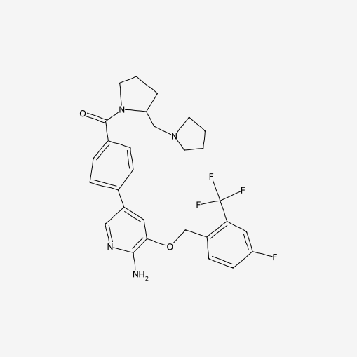 Nc1ncc(-c2ccc(C(=O)N3CCCC3CN3CCCC3)cc2)cc1OCc1ccc(F)cc1C(F)(F)F